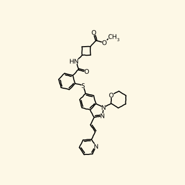 COC(=O)C1CC(NC(=O)c2ccccc2Sc2ccc3c(/C=C/c4ccccn4)nn(C4CCCCO4)c3c2)C1